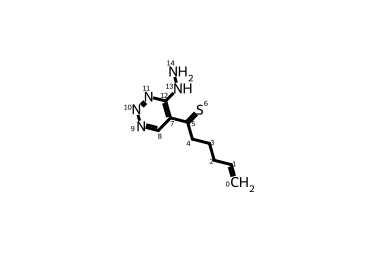 C=CCCCC(=S)c1cnnnc1NN